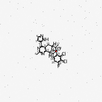 Cc1nc(-c2ccn[nH]2)c2c(n1)[C@H]1[C@H](C)C[C@H](C)[C@@H](C2)N1C(=O)c1ccc(F)c(Cl)c1Cl